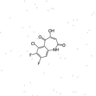 O=c1cc(O)c(=O)c2c(Cl)c(F)c(F)cc2[nH]1